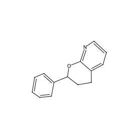 c1ccc(C2CCc3cccnc3O2)cc1